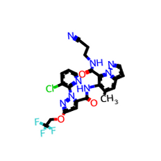 Cc1cc2ccnn2c(C(=O)NCCC#N)c1NC(=O)c1cc(OCC(F)(F)F)nn1-c1ncccc1Cl